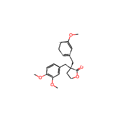 COC1=CC(C[C@]2(Cc3ccc(OC)c(OC)c3)CCOC2=O)=CC[CH]1